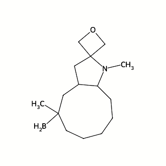 BC1(C)CCCCCC2C(C1)CC1(COC1)N2C